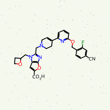 N#Cc1ccc(COc2cccc(C3=CCN(Cc4nc5oc(C(=O)O)cc5n4CC4CCO4)CC3)n2)c(F)c1